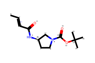 C/C=C/C(=O)N[C@@H]1CCN(C(=O)OC(C)(C)C)C1